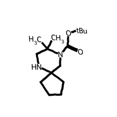 CC(C)(C)OC(=O)N1CC2(CCCC2)NCC1(C)C